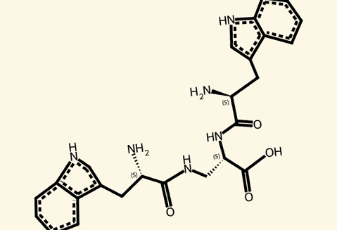 N[C@@H](Cc1c[nH]c2ccccc12)C(=O)NC[C@H](NC(=O)[C@@H](N)Cc1c[nH]c2ccccc12)C(=O)O